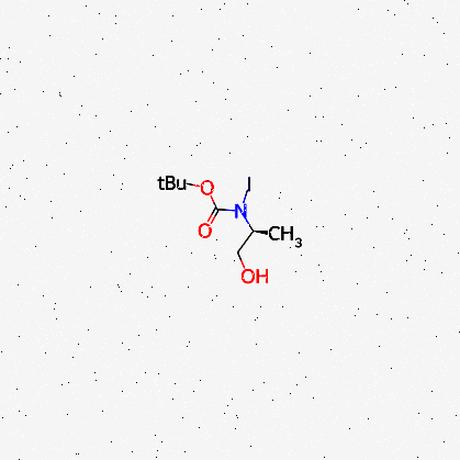 C[C@@H](CO)N(I)C(=O)OC(C)(C)C